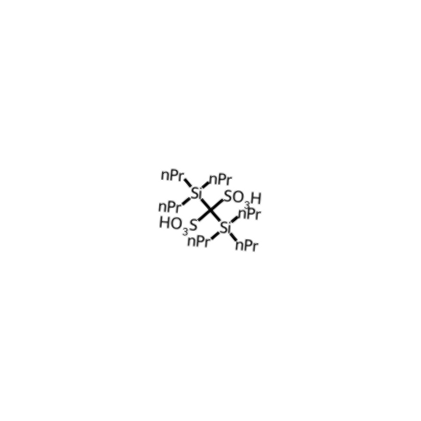 CCC[Si](CCC)(CCC)C([Si](CCC)(CCC)CCC)(S(=O)(=O)O)S(=O)(=O)O